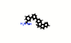 CC1(C)c2cc(-c3cccc(-c4cccc(C(=N)N)c4)c3)ccc2-c2c1ccc1ccccc21